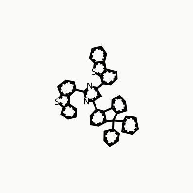 c1ccc(C2(c3ccccc3)c3ccccc3-c3c(-c4cc(-c5cccc6c5sc5ccccc56)nc(-c5cccc6sc7ccccc7c56)n4)cccc32)cc1